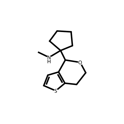 CNC1(C2OCCc3sccc32)CCCC1